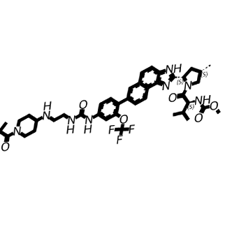 COC(=O)N[C@H](C(=O)N1C[C@@H](C)C[C@H]1c1nc2c(ccc3cc(-c4ccc(NC(=O)NCCNC5CCN(C(=O)C(C)(C)C)CC5)cc4OC(F)(F)F)ccc32)[nH]1)C(C)C